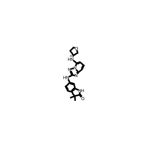 CC1(C)C(=O)Nc2cc(Nc3nc4cccc(N[C@@H]5CCOC5)n4n3)ccc21